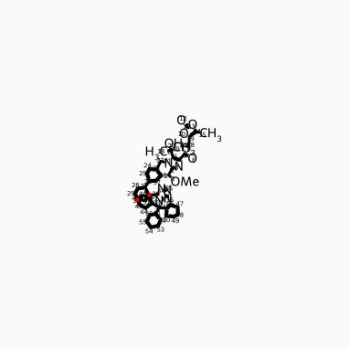 COCc1nc(C(=O)OCc2oc(=O)oc2C)c(C(C)(C)O)n1Cc1ccc(-c2ccccc2-c2nnnn2C(c2ccccc2)(c2ccccc2)c2ccccc2)cc1